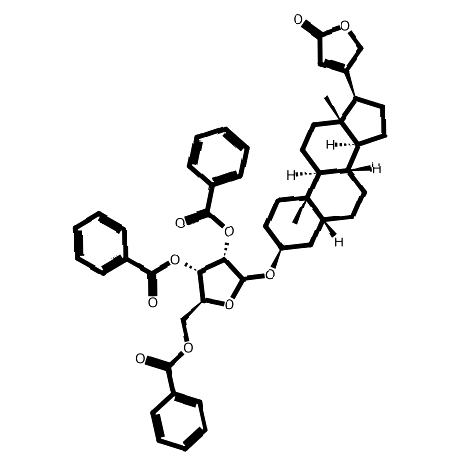 C[C@]12CC[C@H](OC3O[C@@H](COC(=O)c4ccccc4)[C@H](OC(=O)c4ccccc4)[C@@H]3OC(=O)c3ccccc3)C[C@H]1CC[C@@H]1[C@@H]2CC[C@]2(C)[C@@H](C3=CC(=O)OC3)CC[C@@H]12